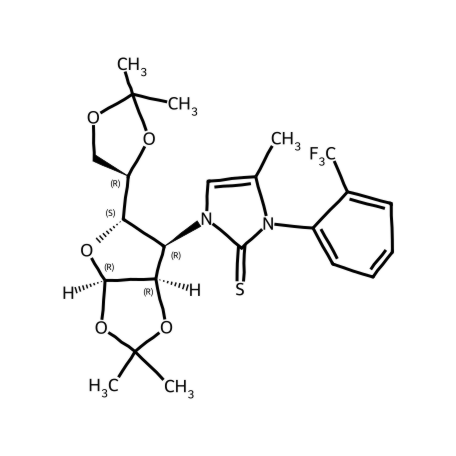 Cc1cn([C@H]2[C@H]3OC(C)(C)O[C@H]3O[C@@H]2[C@H]2COC(C)(C)O2)c(=S)n1-c1ccccc1C(F)(F)F